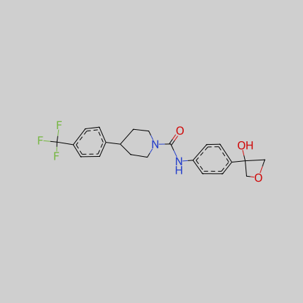 O=C(Nc1ccc(C2(O)COC2)cc1)N1CCC(c2ccc(C(F)(F)F)cc2)CC1